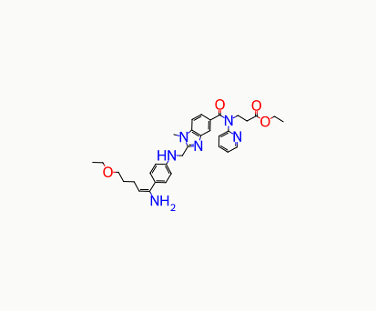 CCOCCC/C=C(/N)c1ccc(NCc2nc3cc(C(=O)N(CCC(=O)OCC)c4ccccn4)ccc3n2C)cc1